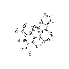 CC(=O)N(c1c(I)c(C(=O)Cl)c(I)c(C(=O)Cl)c1I)N1C(=O)c2ccccc2C1=O